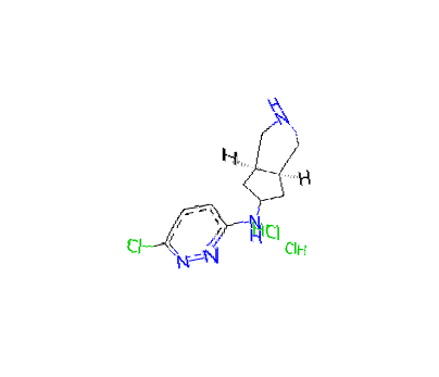 Cl.Cl.Clc1ccc(NC2C[C@H]3CNC[C@H]3C2)nn1